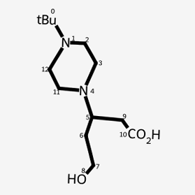 CC(C)(C)N1CCN(C(CCO)CC(=O)O)CC1